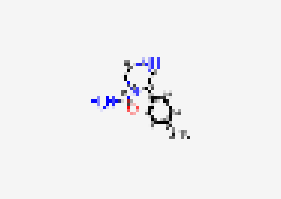 N#Cc1ccc(C2CNCCN2C(N)=O)cc1